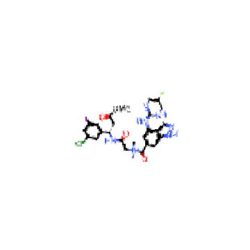 COC(=O)C[C@H](NC(=O)C[N+](C)(C)C(=O)c1cc(NC2=NCC(F)CN2)c2cn[nH]c2c1)c1cc(Cl)cc(I)c1